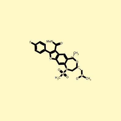 CNC(=O)c1c(-c2ccc(F)cc2)oc2cc3c(cc12)[C@H](C)O[C@H](C[S+](C)[O-])CN3S(C)(=O)=O